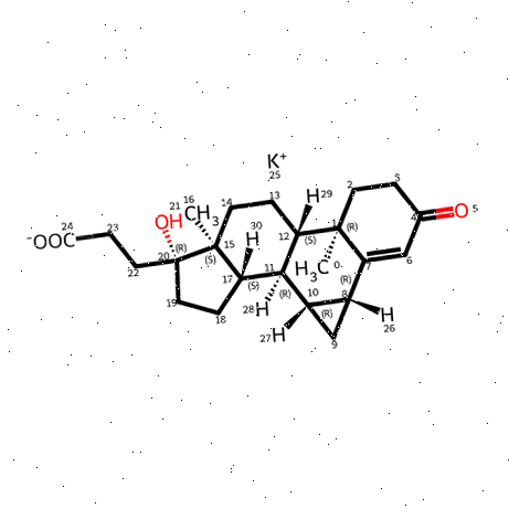 C[C@]12CCC(=O)C=C1[C@@H]1C[C@@H]1[C@@H]1[C@@H]2CC[C@@]2(C)[C@H]1CC[C@@]2(O)CCC(=O)[O-].[K+]